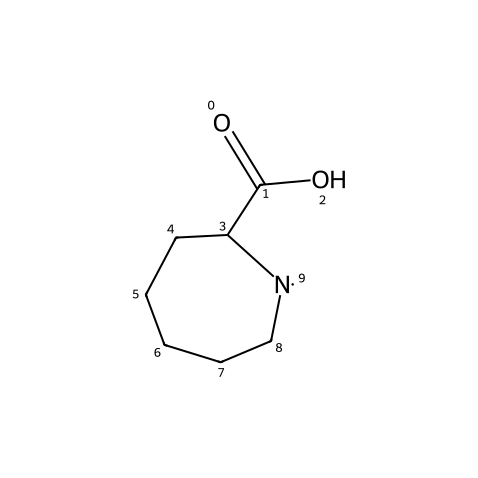 O=C(O)C1CCCCC[N]1